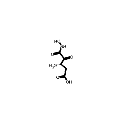 N[C@@H](CC(=O)O)C(=O)C(=O)NO